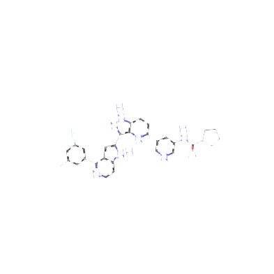 Cc1cc(F)cc(-c2nccc3[nH]c(-c4n[nH]c5ccc(-c6cncc(NC(=O)C7CCCC7)c6)nc45)cc23)c1